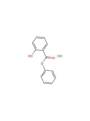 Cl.O=C(Oc1ccccc1)c1ccccc1O